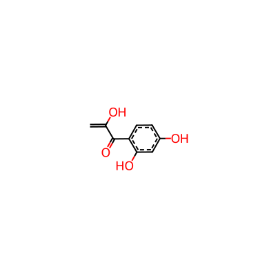 C=C(O)C(=O)c1ccc(O)cc1O